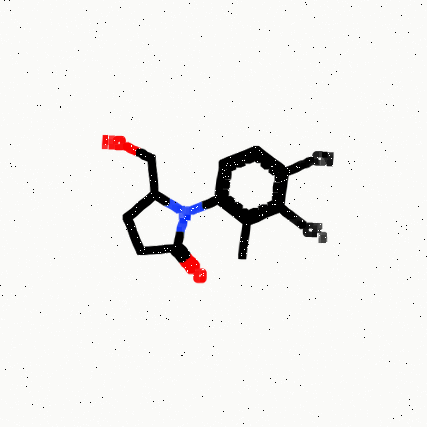 Cc1c(N2C(=O)CCC2CO)ccc(C#N)c1C(F)(F)F